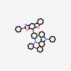 c1ccc(-c2nc3cc4c(oc5ccccc54)c(-c4ccc(N(c5ccccc5-c5ccccc5)c5cccc6c5c5ccccc5n6-c5ccccc5)cc4)c3o2)cc1